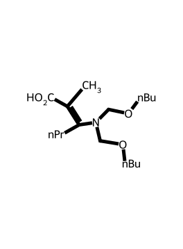 CCCCOCN(COCCCC)/C(CCC)=C(\C)C(=O)O